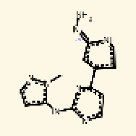 Cn1nccc1Nc1nccc(-c2cc[nH]/c(=N\N)c2)n1